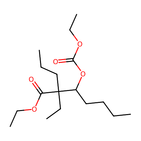 CCCCC(OC(=O)OCC)C(CC)(CCC)C(=O)OCC